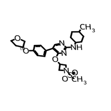 CC1CCC(Nc2ncc(-c3ccc(O[C@H]4CCOC4)cc3)c(OC3CN(S(C)(=O)=O)C3)n2)CC1